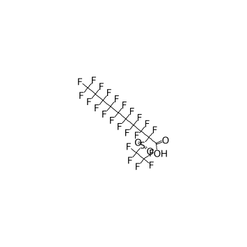 O=C(O)C(F)(C(F)(F)C(F)(F)C(F)(F)C(F)(F)C(F)(F)C(F)(F)C(F)(F)C(F)(F)F)S(=O)(=O)C(F)(F)C(F)(F)F